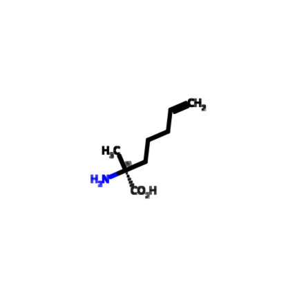 C=CCCC[C@](C)(N)C(=O)O